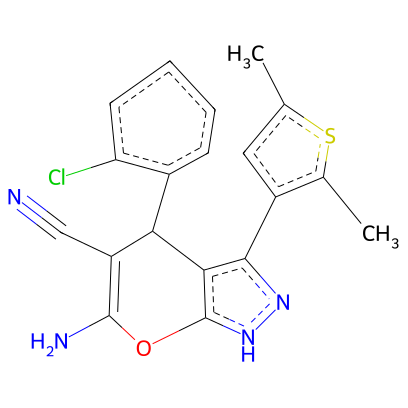 Cc1cc(-c2n[nH]c3c2C(c2ccccc2Cl)C(C#N)=C(N)O3)c(C)s1